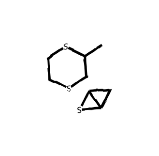 C1C2SC12.CC1CSCCS1